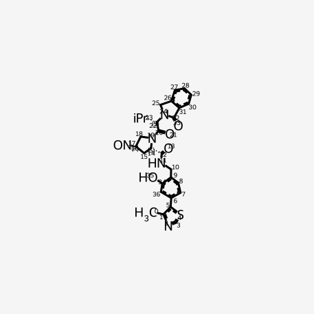 Cc1ncsc1-c1ccc(CNC(=O)[C@@H]2C[C@@H](N=O)CN2C(=O)[C@H](C(C)C)N2Cc3ccccc3C2=O)c(O)c1